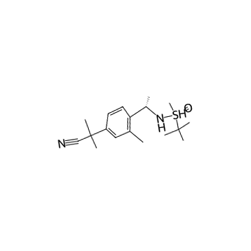 Cc1cc(C(C)(C)C#N)ccc1[C@H](C)N[SH](C)(=O)C(C)(C)C